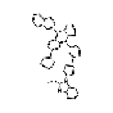 CCc1nc2ccccc2n1-c1ccc(-c2cccc(-c3c4ccccc4c(-c4ccc5ccccc5c4)c4ccc(-c5ccccc5)cc34)c2)cc1